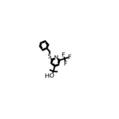 CC(C)(O)c1cc(SCc2ccccc2)nc(C(F)(F)F)c1